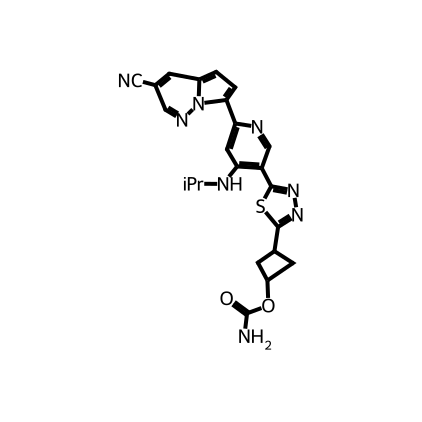 CC(C)Nc1cc(-c2ccc3cc(C#N)cnn23)ncc1-c1nnc(C2CC(OC(N)=O)C2)s1